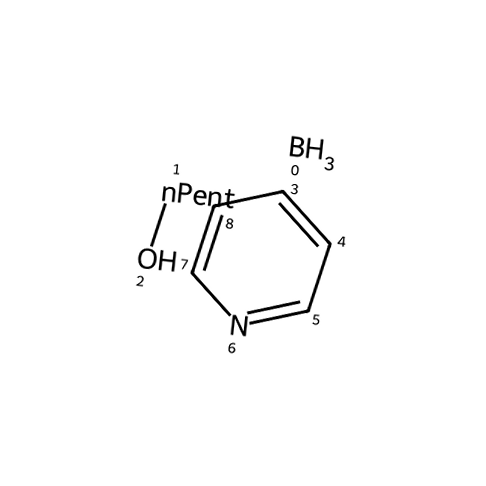 B.CCCCCO.c1ccncc1